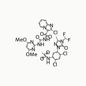 COc1cc(OC)nc(NC(=O)NS(=O)(=O)c2c(Cl)nc3ccccn23)n1.Cc1nn(-c2cc(NS(C)(=O)=O)c(Cl)cc2Cl)c(=O)n1C(F)F